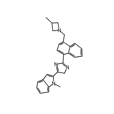 CC1CN(Cc2ccc(C3=NCC(c4cc5ccccc5n4C)=N3)c3ccccc23)C1